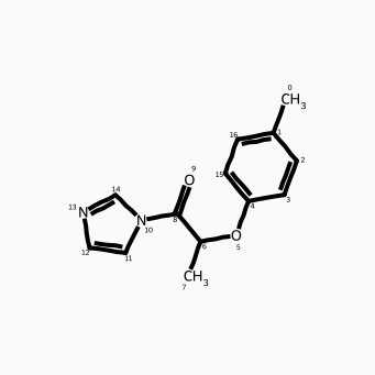 Cc1ccc(OC(C)C(=O)n2ccnc2)cc1